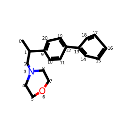 CC(CN1CCOCC1)c1ccc(-c2ccccc2)cc1